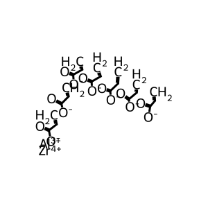 C=CC(=O)[O-].C=CC(=O)[O-].C=CC(=O)[O-].C=CC(=O)[O-].C=CC(=O)[O-].C=CC(=O)[O-].C=CC(=O)[O-].[Al+3].[Zr+4]